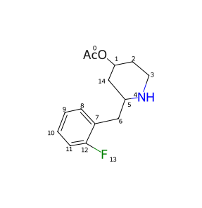 CC(=O)OC1CCNC(Cc2ccccc2F)C1